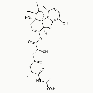 Cc1ccc(O)c2c1[C@]13CCN(C)[C@H](C)[C@]1(O)CC=C(OC(=O)[C@@H](O)CC(=O)O[C@@H](C)C(=O)N[C@@H](C)C(=O)O)[C@@H]3O2